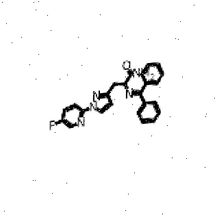 NC(=O)C(Cc1ccn(-c2ccc(F)cn2)n1)N=C(c1ccccc1)c1ccccc1